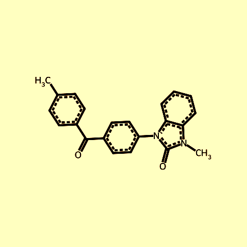 Cc1ccc(C(=O)c2ccc(-n3c(=O)n(C)c4ccccc43)cc2)cc1